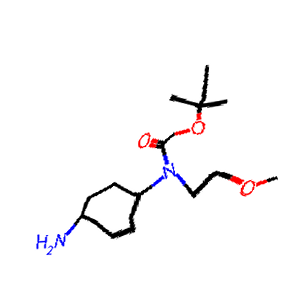 COCCN(C(=O)OC(C)(C)C)C1CCC(N)CC1